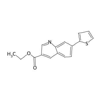 CCOC(=O)c1cnc2cc(-c3cccs3)ccc2c1